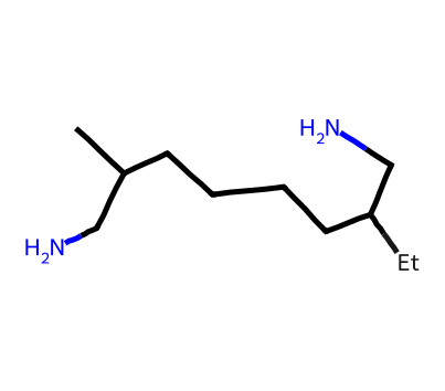 CCC(CN)CCCCC(C)CN